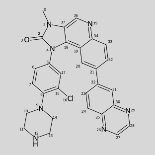 Cn1c(=O)n(-c2ccc(N3CCNCC3)c(Cl)c2)c2c3cc(-c4ccc5nccnc5c4)ccc3ncc21